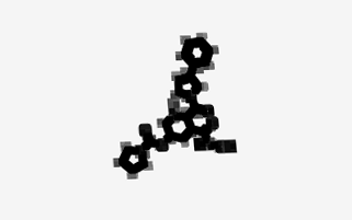 O=C(NO)C1CC(OC(=O)N2CCCC2)CNC1C(=O)N1CC=C(c2ccccc2)C1